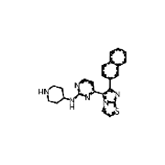 c1ccc2cc(-c3nc4sccn4c3-c3ccnc(NC4CCNCC4)n3)ccc2c1